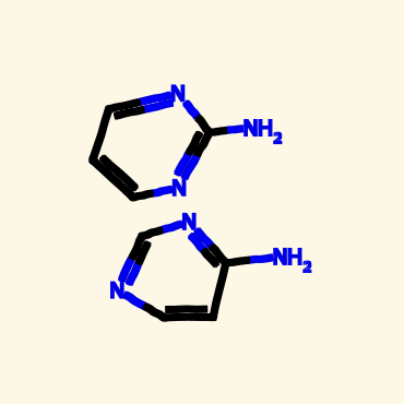 Nc1ccncn1.Nc1ncccn1